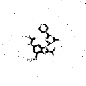 COc1cc(NC(=O)O)cc2c1nc(C(F)F)n2-c1nc(Cl)nc(N2CCOCC2)n1